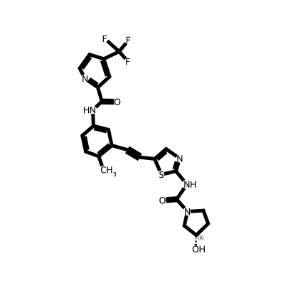 Cc1ccc(NC(=O)c2cc(C(F)(F)F)ccn2)cc1C#Cc1cnc(NC(=O)N2CC[C@H](O)C2)s1